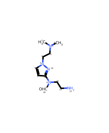 CN(C)CCn1ccc(N(C=O)CCN)n1